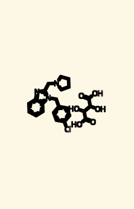 Clc1ccc(Cn2c(CN3CCCC3)nc3ccccc32)cc1.O=C(O)C(O)C(O)C(=O)O